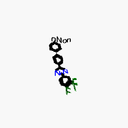 CCCCCCCCC[C@H]1CC[C@H](c2ccc(-c3cnc(-c4ccc(F)c(F)c4)nc3)cc2)CC1